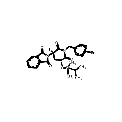 CC(C)[Si](C)(C)O[C@H]1C[C@](F)(N2C(=O)c3ccccc3C2=O)C(=O)N(Cc2ccc(Br)cc2)C1=O